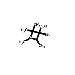 CCCCC1(C(C)(C)C)C(C)N(C)C1(C)C